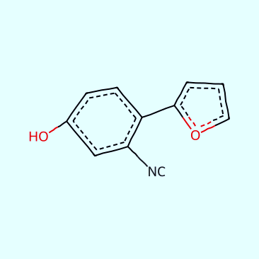 [C-]#[N+]c1cc(O)ccc1-c1ccco1